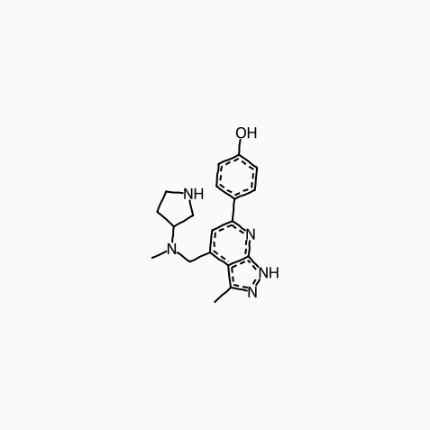 Cc1n[nH]c2nc(-c3ccc(O)cc3)cc(CN(C)C3CCNC3)c12